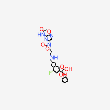 O=C1COc2ncc(N3CC(CCNCC4Cc5cc(C(O)(Cc6ccccc6)C(=O)O)cc(F)c5C4)OC3=O)nc2N1